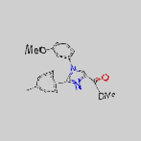 COC(=O)c1cn(-c2cccc(OC)c2)c(-c2ccc(C)cc2)n1